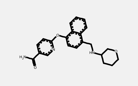 NC(=O)c1ccc(Oc2ccc(CNC3CCCOC3)c3ccccc23)nc1